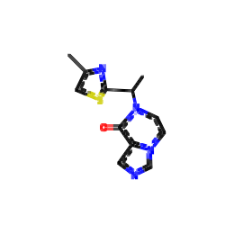 Cc1csc(C(C)n2ccn3cncc3c2=O)n1